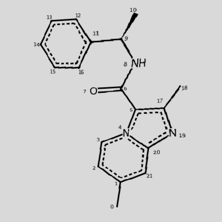 Cc1ccn2c(C(=O)N[C@H](C)c3ccccc3)c(C)nc2c1